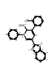 O=CC1C(c2ccccc2Cl)=CC(c2nc3ccccc3o2)=CN1c1ccccc1